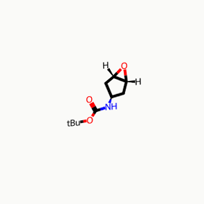 CC(C)(C)OC(=O)N[C@H]1C[C@@H]2O[C@@H]2C1